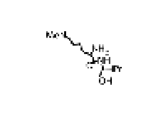 CNCCCCC(N)C(=O)NC(CO)C(C)C